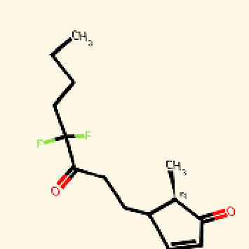 CCCCC(F)(F)C(=O)CCC1C=CC(=O)[C@@H]1C